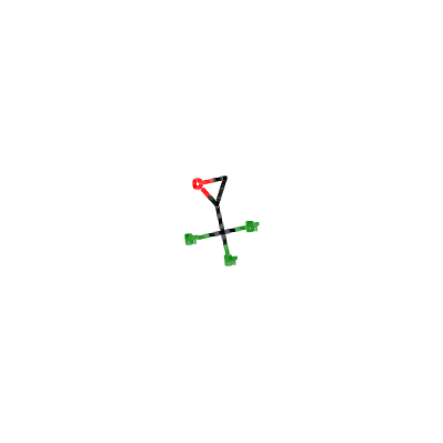 BrC(Br)(Br)C1CO1